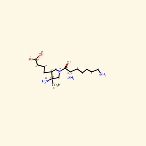 NCCCCC[C@H](N)C(=O)N1CC(CCCB(O)O)[C@](N)(C(=O)O)C1